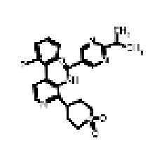 CC(C)c1ncc(C(=O)Nc2c(-c3ccccc3F)ccnc2C2CCS(=O)(=O)CC2)cn1